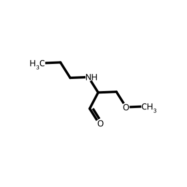 CCCNC(C=O)COC